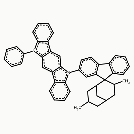 CC1CC2CC(C)C3(c4ccccc4-c4ccc(-n5c6ccccc6c6cc7c(cc65)c5ccccc5n7-c5ccccc5)cc43)C(C1)C2